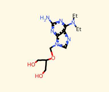 CCN(CC)c1nc(N)nc2c1ncn2COC(CO)CO